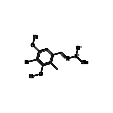 CCOc1cc(/C=N/[S+]([O-])C(C)(C)C)c(C)c(OCC)c1Br